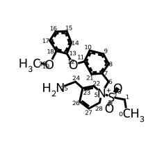 CCS(=O)(=O)[N+]1(Cc2cccc(Oc3ccccc3OC)c2)C=C(CN)C=CC1